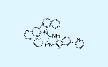 C1=CCC(C2Nc3sc4cc(-c5ccccn5)ccc4c3NC2n2c3cc4ccccc4cc3c3ccc4ccccc4c32)C=C1